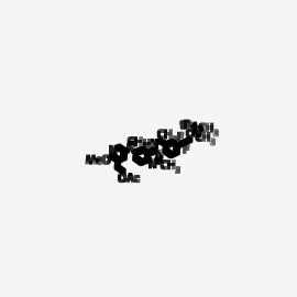 COc1ncc(N(C)c2ccc3nc(C)nc(N[C@H](C)c4cccc(C(F)(F)CO[Si](C)(C)C(C)(C)C)c4)c3c2)cc1CCOC(C)=O